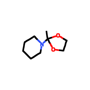 CC1(N2CCCCC2)OCCO1